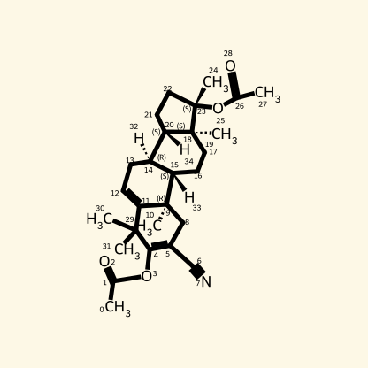 CC(=O)OC1=C(C#N)C[C@@]2(C)C(=CC[C@@H]3[C@@H]2CC[C@@]2(C)[C@H]3CC[C@]2(C)OC(C)=O)C1(C)C